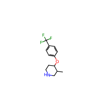 CC1CNCCC1Oc1ccc(C(F)(F)F)cc1